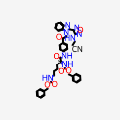 N#CCCNc1nonc1-c1nc2ccccc2n1CC(=O)c1ccc(NC(=O)[C@H](CCCCNC(=O)OCc2ccccc2)NC(=O)OCc2ccccc2)cc1